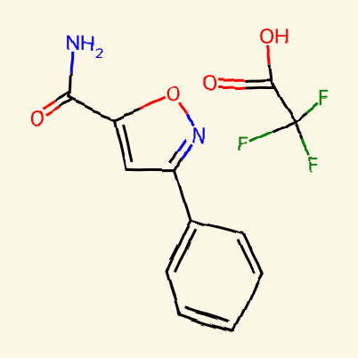 NC(=O)c1cc(-c2ccccc2)no1.O=C(O)C(F)(F)F